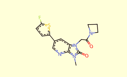 Cn1c(=O)n(CC(=O)N2CCC2)c2cc(-c3ccc(F)s3)cnc21